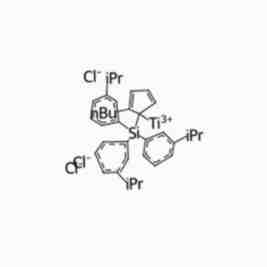 CCCCC1=CC=C[C]1([Ti+3])[Si](c1cccc(C(C)C)c1)(c1cccc(C(C)C)c1)c1cccc(C(C)C)c1.[Cl-].[Cl-].[Cl-]